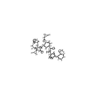 Cc1ccccc1-c1nnc(NC(=O)c2ccc(OC3CC3)c(NC(=O)C3(N4CCN(C)CC4)CC3)c2)s1